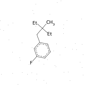 CCC(C)(CC)Cc1cccc(F)c1